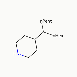 CCCCCCC(CCCCC)C1CCNCC1